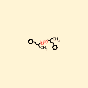 CCC(CCc1ccccc1)COBOCC(CC)CCc1ccccc1